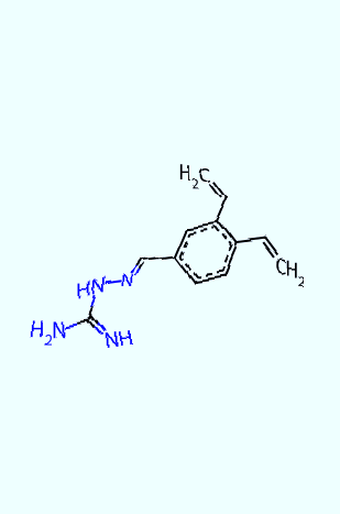 C=Cc1ccc(/C=N/NC(=N)N)cc1C=C